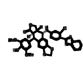 COc1cc([C@@H]2c3cc4c(cc3[C@@H](Nc3ccc(-c5nc6ccccc6s5)c(Cl)c3)[C@H]3COC(=O)[C@H]23)OCO4)cc(OC)c1O